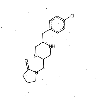 O=C1CCCN1CC1CNC(Cc2ccc(Cl)cc2)CO1